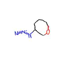 [N-]=[N+]=NC1CCCOC1